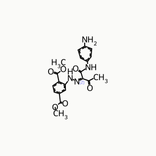 COC(=O)c1ccc(C(=O)OC)c(N/N=C(/C(C)=O)C(=O)Nc2ccc(N)cc2)c1